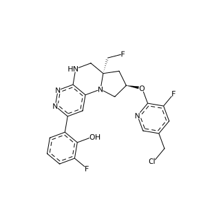 Oc1c(F)cccc1-c1cc2c(nn1)NC[C@@]1(CF)C[C@@H](Oc3ncc(CCl)cc3F)CN21